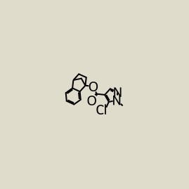 Cn1ncc(C(=O)OC23CCC(C2)c2ccccc23)c1Cl